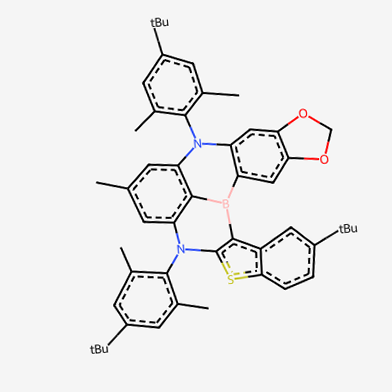 Cc1cc2c3c(c1)N(c1c(C)cc(C(C)(C)C)cc1C)c1sc4ccc(C(C)(C)C)cc4c1B3c1cc3c(cc1N2c1c(C)cc(C(C)(C)C)cc1C)OCO3